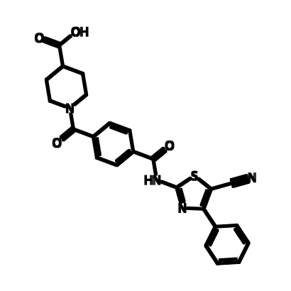 N#Cc1sc(NC(=O)c2ccc(C(=O)N3CCC(C(=O)O)CC3)cc2)nc1-c1ccccc1